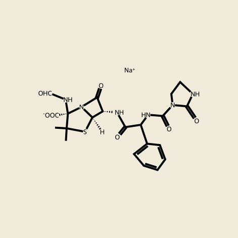 CC1(C)S[C@@H]2[C@@H](NC(=O)C(NC(=O)N3CCNC3=O)c3ccccc3)C(=O)N2[C@@]1(NC=O)C(=O)[O-].[Na+]